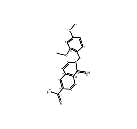 COc1ccc(Cn2ccc3cc(C(=O)O)ccc3c2=N)c(OC)c1